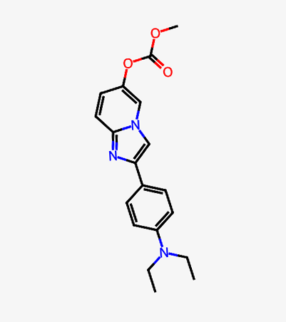 CCN(CC)c1ccc(-c2cn3cc(OC(=O)OC)ccc3n2)cc1